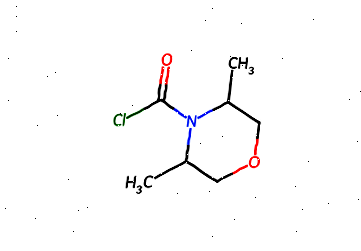 CC1COCC(C)N1C(=O)Cl